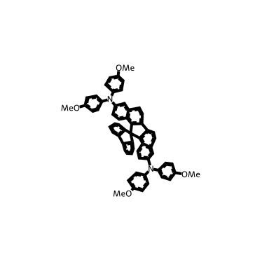 COc1ccc(N(c2ccc(OC)cc2)c2ccc3c4c(ccc3c2)-c2ccc3cc(N(c5ccc(OC)cc5)c5ccc(OC)cc5)ccc3c2C42c3ccccc3-c3ccccc32)cc1